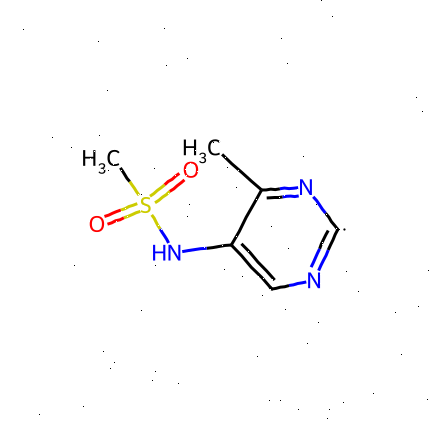 Cc1n[c]ncc1NS(C)(=O)=O